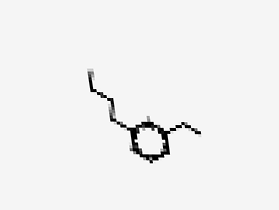 CCCCc1[c]c(CC)ccc1